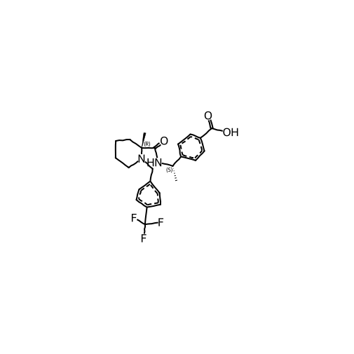 C[C@H](NC(=O)[C@@]1(C)CCCCN1Cc1ccc(C(F)(F)F)cc1)c1ccc(C(=O)O)cc1